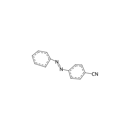 N#Cc1ccc(N=Nc2ccccc2)cc1